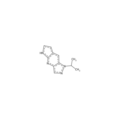 CC(C)n1ncc2nc3[nH]ccc3cc21